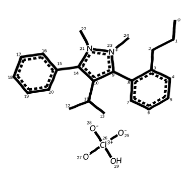 CCCc1ccccc1-c1c(C(C)C)c(-c2ccccc2)n(C)[n+]1C.[O-][Cl+3]([O-])([O-])O